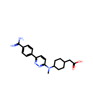 CN(c1ccc(-c2ccc(C(=N)N)cc2)nn1)C1CCC(CC(=O)O)CC1